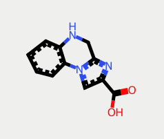 O=C(O)c1cn2c(n1)CNc1ccccc1-2